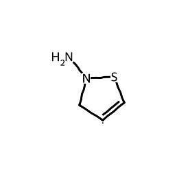 NN1C[C]=CS1